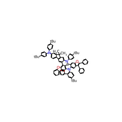 CC(C)(C)c1ccc(N2B3c4cc5oc(-c6ccccc6)c(-c6ccccc6)c5cc4N(c4ccc(C(C)(C)C)cc4-c4ccccc4)c4cc5c(oc6ccccc65)c(c43)-c3cc4c(cc32)C(C)(C)c2cc(N(c3ccc(C(C)(C)C)cc3)c3ccc(C(C)(C)C)cc3)ccc2-4)cc1